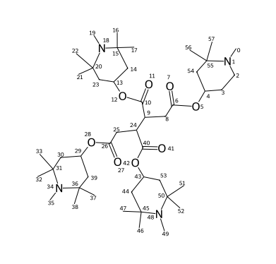 CN1CCC(OC(=O)CC(C(=O)OC2CC(C)(C)N(C)C(C)(C)C2)C(CC(=O)OC2CC(C)(C)N(C)C(C)(C)C2)C(=O)OC2CC(C)(C)N(C)C(C)(C)C2)CC1(C)C